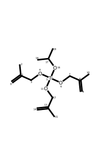 C=C(C)C[O][Ti]([O]CC(=C)C)([O]CC(=C)C)[O]C(C)C